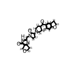 O=C(c1cc2c(cc1F)OCC2)C1CCN(C2CCN(Cc3nc4c(c(=O)[nH]3)COCC4)C2=O)CC1